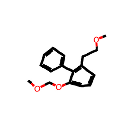 COCCc1cccc(OCOC)c1-c1ccccc1